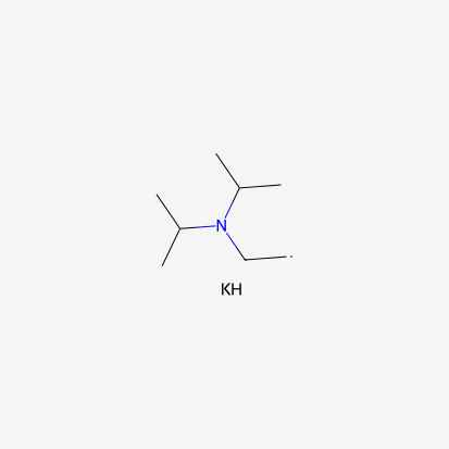 [CH2]CN(C(C)C)C(C)C.[KH]